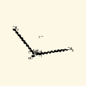 CCCCCCCCCCCCCCCCCC(=O)C(O)C[N+](C)(CCO)CC(O)C(=O)CCCCCCCCCCCCCCCCC.[Cl-]